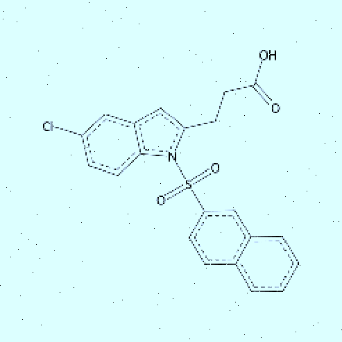 O=C(O)CCc1cc2cc(Cl)ccc2n1S(=O)(=O)c1ccc2ccccc2c1